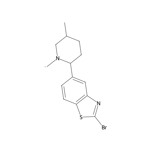 [CH2]N1CC(C)CCC1c1ccc2sc(Br)nc2c1